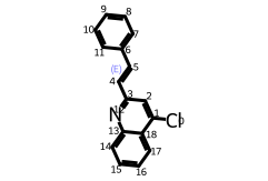 Clc1cc(/C=C/c2ccccc2)nc2ccccc12